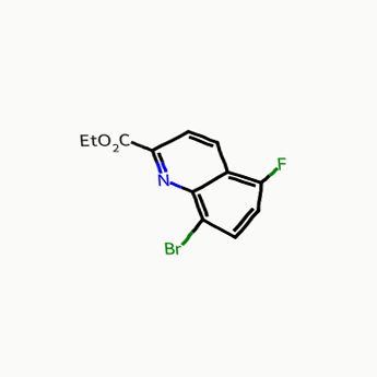 CCOC(=O)c1ccc2c(F)ccc(Br)c2n1